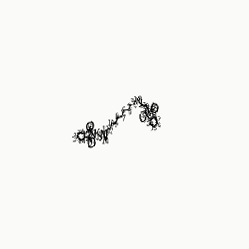 CN(CCCCCCCCCCCN(C)CCN1C(=O)c2ccccc2C1=O)CCN1C(=O)c2ccccc2C1=O